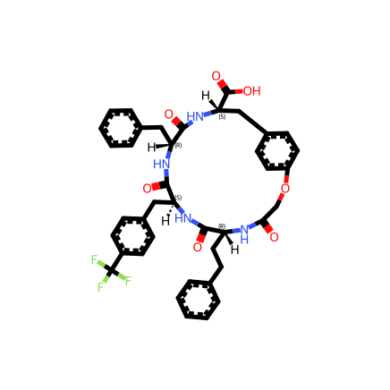 O=C1COc2ccc(cc2)C[C@@H](C(=O)O)NC(=O)[C@@H](Cc2ccccc2)NC(=O)[C@H](Cc2ccc(C(F)(F)F)cc2)NC(=O)[C@@H](CCc2ccccc2)N1